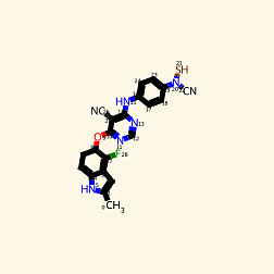 Cc1cc2c([nH]1)=CCC(Oc1ncnc(Nc3ccc(N(S)C#N)cc3)c1C#N)C=2F